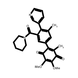 COC1=C(OC)C(=O)C(c2cc(C)c(-c3cccnc3)c(C(=O)N3CCCCC3)c2)=C(C)C1=O